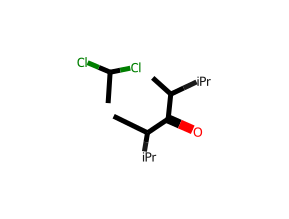 CC(C)C(C)C(=O)C(C)C(C)C.CC(Cl)Cl